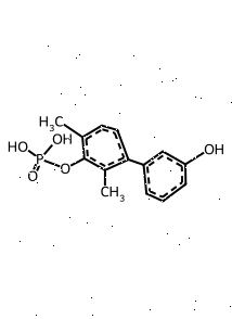 Cc1ccc(-c2cccc(O)c2)c(C)c1OP(=O)(O)O